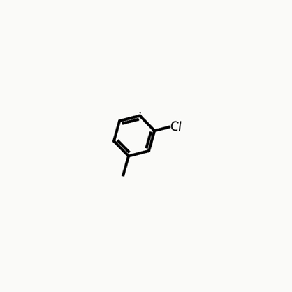 Cc1cc[c]c(Cl)c1